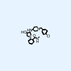 CNC(=O)c1ccccc1N1C[C@@H](O)[C@H](NC2CCN(Cc3ccc(Cl)cc3)CC2)C1